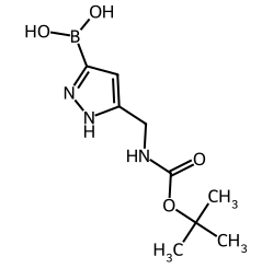 CC(C)(C)OC(=O)NCc1cc(B(O)O)n[nH]1